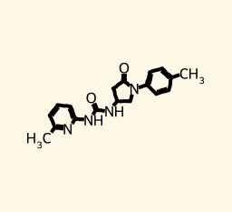 Cc1ccc(N2CC(NC(=O)Nc3cccc(C)n3)CC2=O)cc1